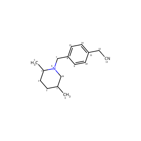 CC1CCC(C)N(Cc2ccc(CC#N)cc2)C1